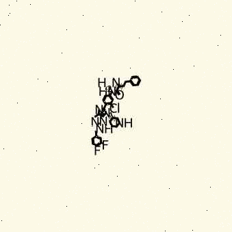 N[C@H](CCc1ccccc1)C(=O)Nc1ccc(-c2nc3cnc(NCc4ccc(F)c(F)c4)nc3n2C[C@@H]2CCCNC2)c(Cl)c1